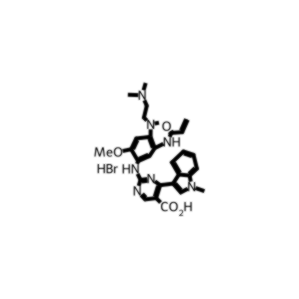 Br.C=CC(=O)Nc1cc(Nc2ncc(C(=O)O)c(-c3cn(C)c4ccccc34)n2)c(OC)cc1N(C)CCN(C)C